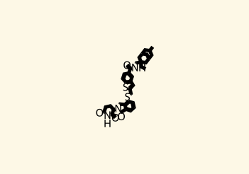 CCC1(CNC(=O)c2ccc3sc(CSc4cccc5c4CN(C4CCC(=O)NC4=O)C5=O)cc3c2)CC2CC(C)CC(C2)C1